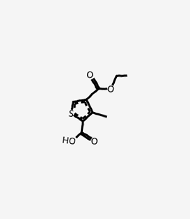 CCOC(=O)c1csc(C(=O)O)c1C